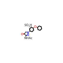 CC(=O)NC1=NN(c2ccc(Oc3ccccc3)c(S(=O)(=O)O)c2)CC1=O